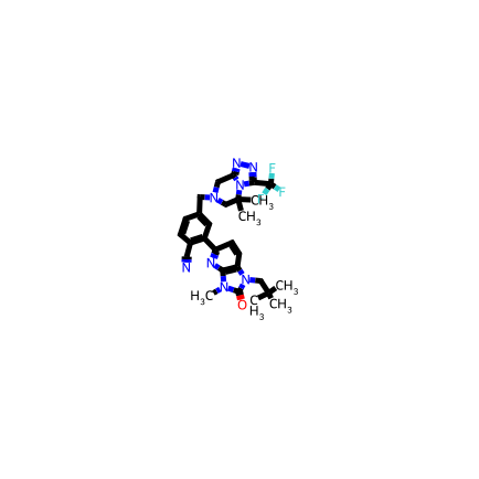 Cn1c(=O)n(CC(C)(C)C)c2ccc(-c3cc(CN4Cc5nnc(C(F)(F)F)n5C(C)(C)C4)ccc3C#N)nc21